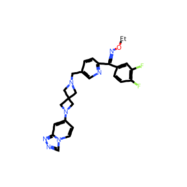 CCON=C(c1ccc(F)c(F)c1)c1ccc(CN2CC3(C2)CN(c2ccn4cnnc4c2)C3)cn1